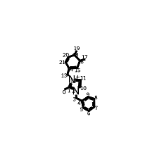 Cc1n(Cc2ccccc2)cc[n+]1CC1=CC(C)C(C)C=C1